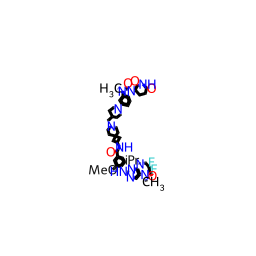 COc1cc(C(=O)NC2CC3(CCN(CC4CCN(c5ccc6c(c5)n(C)c(=O)n6C5CCC(=O)NC5=O)CC4)CC3)C2)ccc1Nc1ncc2c(n1)N(C(C)C)CC(F)(F)C(=O)N2C